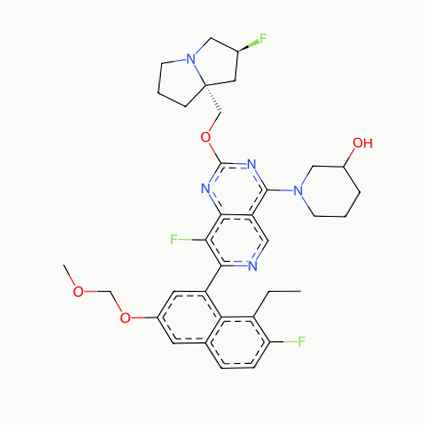 CCc1c(F)ccc2cc(OCOC)cc(-c3ncc4c(N5CCCC(O)C5)nc(OC[C@]56CCCN5C[C@@H](F)C6)nc4c3F)c12